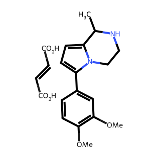 COc1ccc(-c2ccc3n2CCNC3C)cc1OC.O=C(O)/C=C/C(=O)O